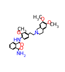 COc1cc(CCN2CCc3cc(OC)c(OC)cc3C2)ccc1NC(=O)c1ccccc1C(N)=O